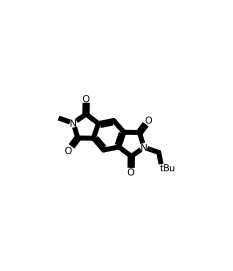 Cn1c(=O)c2cc3c(=O)n(CC(C)(C)C)c(=O)c3cc2c1=O